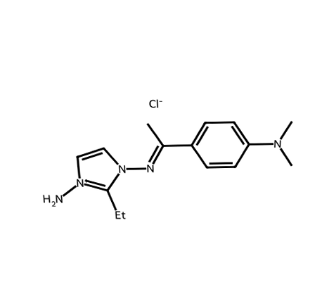 CCc1n(N=C(C)c2ccc(N(C)C)cc2)cc[n+]1N.[Cl-]